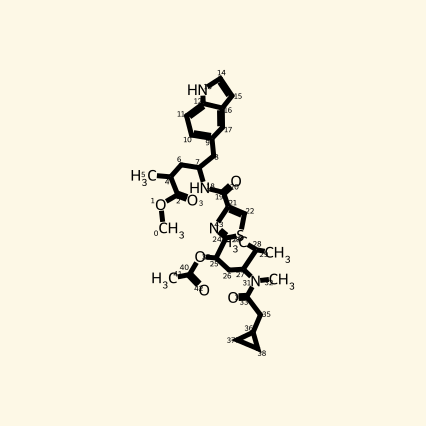 COC(=O)C(C)CC(Cc1ccc2[nH]ccc2c1)NC(=O)c1csc(C(CC(C(C)C)N(C)C(=O)CC2CC2)OC(C)=O)n1